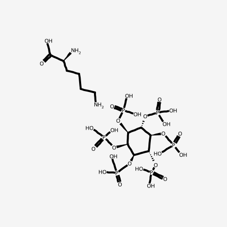 NCCCC[C@H](N)C(=O)O.O=P(O)(O)O[C@H]1[C@H](OP(=O)(O)O)[C@@H](OP(=O)(O)O)[C@H](OP(=O)(O)O)[C@@H](OP(=O)(O)O)[C@H]1OP(=O)(O)O